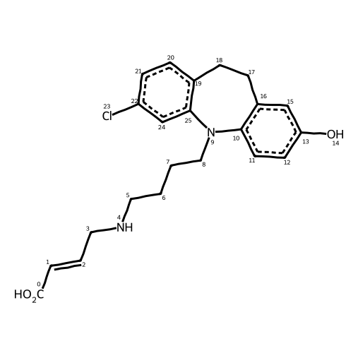 O=C(O)/C=C/CNCCCCN1c2ccc(O)cc2CCc2ccc(Cl)cc21